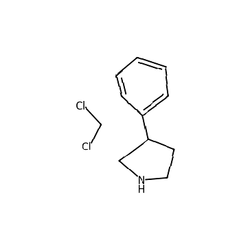 ClCCl.c1ccc(C2CCNC2)cc1